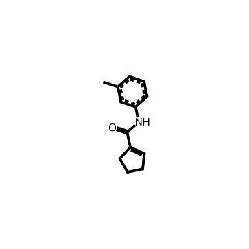 [CH2]c1cccc(NC(=O)C2=CCCC2)c1